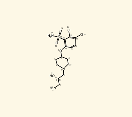 NC[C@H](O)CN1CCC(Oc2ccc(Cl)c(Cl)c2S(N)(=O)=O)CC1